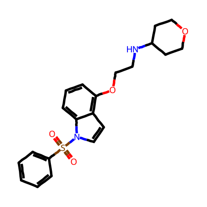 O=S(=O)(c1ccccc1)n1ccc2c(OCCNC3CCOCC3)cccc21